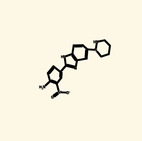 Nc1ccc(-c2nc3cc(N4CCCCN4)ccc3[nH]2)cc1[N+](=O)[O-]